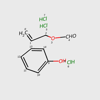 C=CCOC=O.Cl.Cl.Cl.Oc1ccccc1